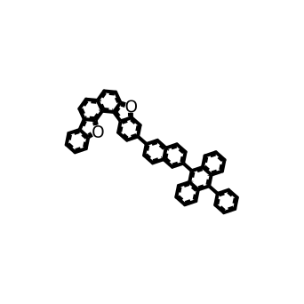 c1ccc(-c2c3ccccc3c(-c3ccc4cc(-c5ccc6c(c5)oc5ccc7ccc8c9ccccc9oc8c7c56)ccc4c3)c3ccccc23)cc1